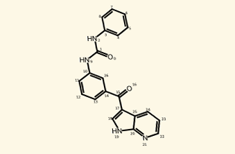 O=C(Nc1ccccc1)Nc1cccc(C(=O)c2c[nH]c3ncccc23)c1